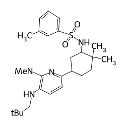 CNc1nc(C2CCC(C)(C)C(NS(=O)(=O)c3cccc(C)c3)C2)ccc1NCC(C)(C)C